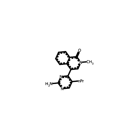 CCCc1cnc(N)nc1-c1cn(C)c(=O)c2ccccc12